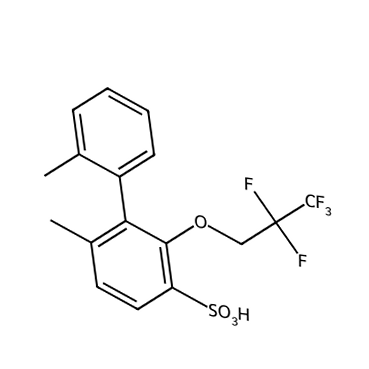 Cc1ccccc1-c1c(C)ccc(S(=O)(=O)O)c1OCC(F)(F)C(F)(F)F